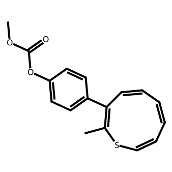 COC(=O)Oc1ccc(-c2ccccccsc2C)cc1